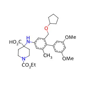 CCOC(=O)N1CCC(Nc2cc(C)c(-c3cc(OC)cc(OC)c3)c(COC3CCCC3)c2)(C(=O)O)CC1